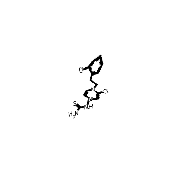 NC(=S)NN1C=CN(CCc2ccccc2Cl)C(Cl)=C1